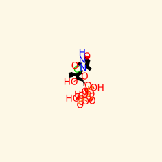 C#CC1(Cl)[C@@H](O)[C@@H](COP(=O)(O)OP(=O)(O)OP(=O)(O)O)O[C@H]1n1c(C)cc(=O)[nH]c1=O